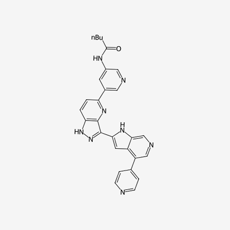 CCCCC(=O)Nc1cncc(-c2ccc3[nH]nc(-c4cc5c(-c6ccncc6)cncc5[nH]4)c3n2)c1